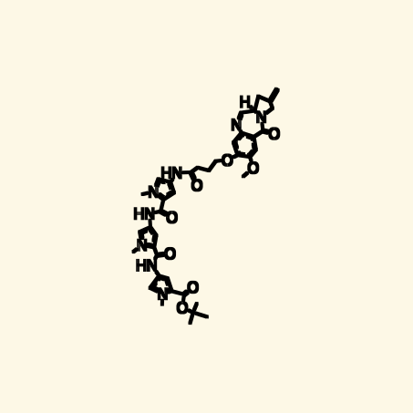 C=C1C[C@H]2C=Nc3cc(OCCCC(=O)Nc4cc(C(=O)Nc5cc(C(=O)Nc6cc(C(=O)OC(C)(C)C)n(C)c6)n(C)c5)n(C)c4)c(OC)cc3C(=O)N2C1